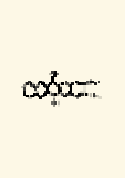 CCCCCCc1cc2cc3c(cc2cc1CCCCCC)C(O)c1cc2ccccc2cc1C3O